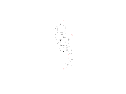 CC(=O)[C@@]1(O)CC[C@@]2(C)C(CC[C@]3(C)[C@@H]2[C@H](O)C[C@@H]2[C@@H]([C@]4(C)CC[C@H](C(C)(C)O)O4)CC[C@@]23C)C1(C)C